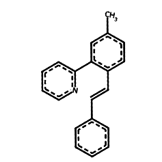 Cc1ccc(/C=C/c2ccccc2)c(-c2ccccn2)c1